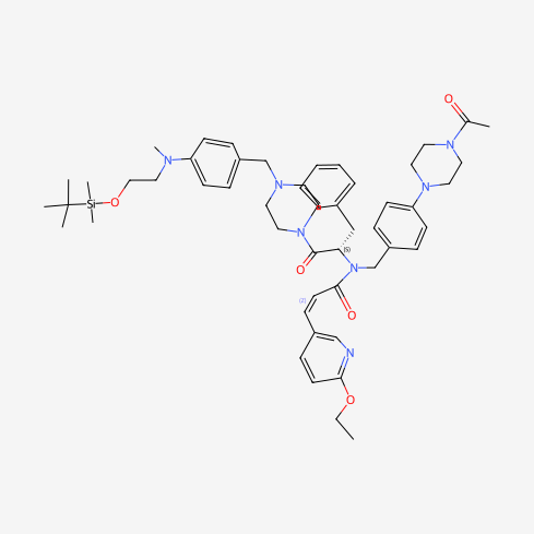 CCOc1ccc(/C=C\C(=O)N(Cc2ccc(N3CCN(C(C)=O)CC3)cc2)[C@@H](Cc2ccccc2)C(=O)N2CCN(Cc3ccc(N(C)CCO[Si](C)(C)C(C)(C)C)cc3)CC2)cn1